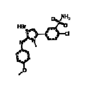 Br.COc1ccc(N=c2scc(-c3ccc(Cl)c(S(N)(=O)=O)c3)n2C)cc1